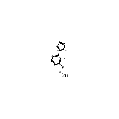 COCc1ccnc(-c2ccno2)n1